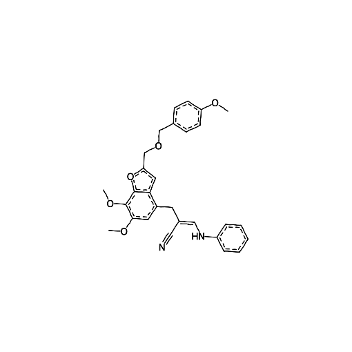 COc1ccc(COCc2cc3c(CC(C#N)=CNc4ccccc4)cc(OC)c(OC)c3o2)cc1